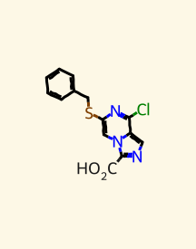 O=C(O)c1ncc2c(Cl)nc(SCc3ccccc3)cn12